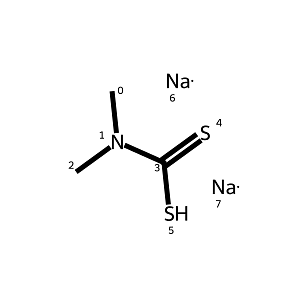 CN(C)C(=S)S.[Na].[Na]